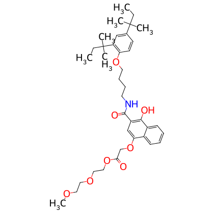 CCC(C)(C)c1ccc(OCCCCNC(=O)c2cc(OCC(=O)OCCOCCOC)c3ccccc3c2O)c(C(C)(C)CC)c1